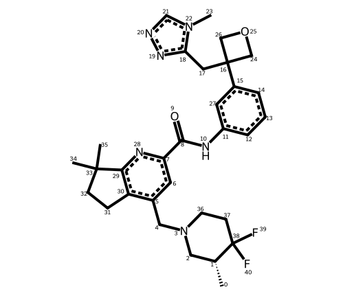 C[C@@H]1CN(Cc2cc(C(=O)Nc3cccc(C4(Cc5nncn5C)COC4)c3)nc3c2CCC3(C)C)CCC1(F)F